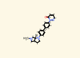 CN1CC2CCN(c3ccc(-c4ccc(-n5ncccc5=O)cc4)cc3)[C@H]2C1